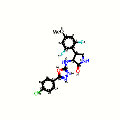 COc1cc(F)c(C2CNC(=O)C2Nc2nnc(-c3ccc(Cl)cc3)o2)c(F)c1